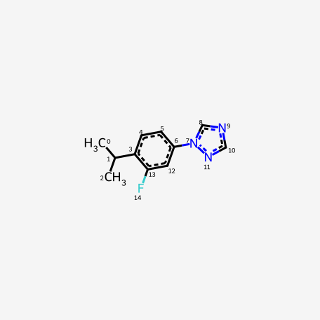 CC(C)c1ccc(-n2cncn2)cc1F